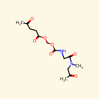 CC(=O)CCC(=O)OCOC(=O)NCC(=O)N(C)CC(C)=O